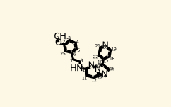 COc1cccc(CCNc2ccc3ncc(-c4ccncc4)n3n2)c1